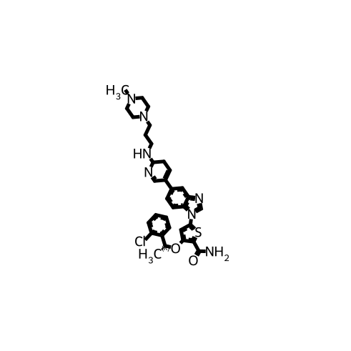 C[C@@H](Oc1cc(-n2cnc3cc(C4=CCC(NCCCN5CCN(C)CC5)N=C4)ccc32)sc1C(N)=O)c1ccccc1Cl